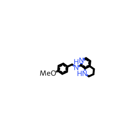 COc1ccc(CNc2nccc3c2NCCC3)cc1